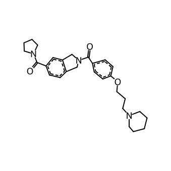 O=C(c1ccc2c(c1)CN(C(=O)c1ccc(OCCCN3CCCCC3)cc1)C2)N1CCCC1